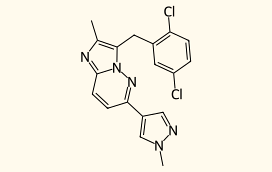 Cc1nc2ccc(-c3cnn(C)c3)nn2c1Cc1cc(Cl)ccc1Cl